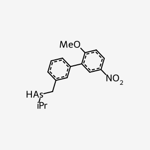 COc1ccc([N+](=O)[O-])cc1-c1cccc(C[AsH]C(C)C)c1